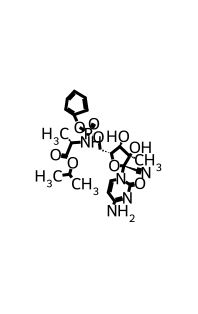 CC(C)OC(=O)[C@H](C)NP(=O)(OC[C@H]1O[C@@](C#N)(n2ccc(N)nc2=O)[C@](C)(O)[C@@H]1O)Oc1ccccc1